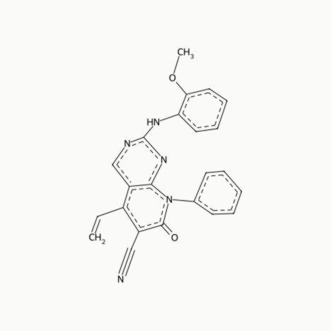 C=Cc1c(C#N)c(=O)n(-c2ccccc2)c2nc(Nc3ccccc3OC)ncc12